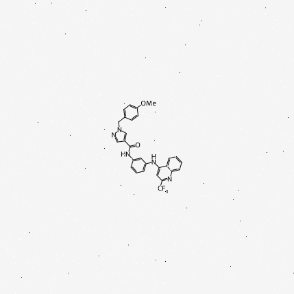 COc1ccc(Cn2cc(C(=O)Nc3cccc(Nc4cc(C(F)(F)F)nc5ccccc45)c3)cn2)cc1